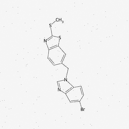 CSc1nc2ccc(Cn3cnc4cc(Br)ccc43)cc2s1